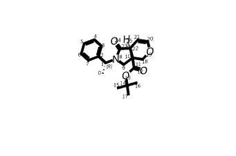 C[C@H](c1ccccc1)N1CC2(C(=O)OC(C)(C)C)COC=C[C@@H]2C1=O